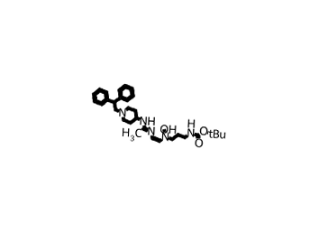 C/C(=N\C=C/N(O)CCCNC(=O)OC(C)(C)C)NC1CCN(CC(c2ccccc2)c2ccccc2)CC1